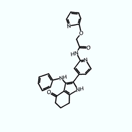 O=C(COc1ccccn1)Nc1cc(-c2[nH]c3c(c2Nc2ccccc2)C(=O)CCC3)ccn1